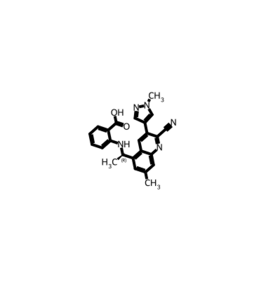 Cc1cc([C@@H](C)Nc2ccccc2C(=O)O)c2cc(-c3cnn(C)c3)c(C#N)nc2c1